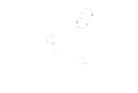 CC1(C)C[C@@H]1C(=O)N1CC2(CN(C(=O)c3cncs3)C[C@H]2COCc2cc3ccccc3c(C3CCOCC3)n2)C1